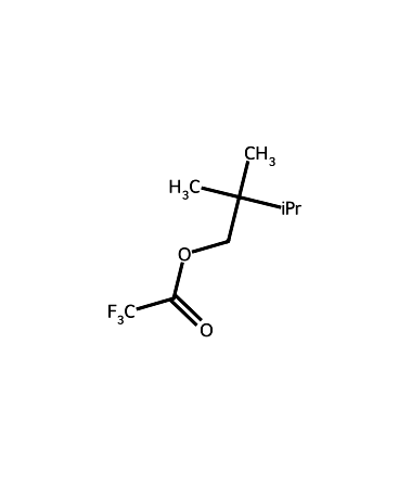 CC(C)C(C)(C)COC(=O)C(F)(F)F